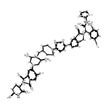 CC1CN(c2cc3c(cc2F)C(=O)N(C2CCC(=O)NC2=O)C3=O)CC(C)N1CC1CCN(c2ccc(-c3ccc4c(c3)C(=O)N(C(C(=O)Nc3nccs3)c3cc(F)ccc3O)C4)nn2)CC1